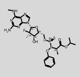 CNc1nc(N)nc2c1ncn2[C@@H]1O[C@H](CO[PH](=S)N(Oc2ccccc2)[C@H](C)C(=O)OC(C)C)[C@@H](O)[C@@]1(C)F